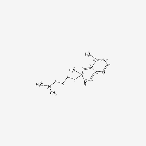 CN(C)CCCCC1(N)C=c2c(N)ncnc2=CN1